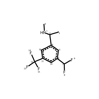 CNC(C)c1cc(C(F)F)cc(C(F)(F)F)c1